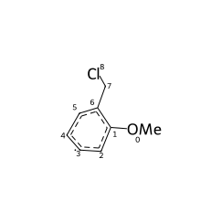 COc1c[c]ccc1CCl